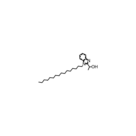 CCCCCCCCCCCCCCCCn1c(C(C)O)nc2ccccc21